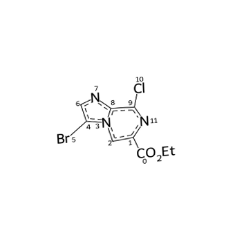 CCOC(=O)c1cn2c(Br)cnc2c(Cl)n1